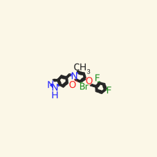 Cc1cc(OCc2ccc(F)cc2F)c(Br)c(=O)n1Cc1ccc2[nH]ncc2c1